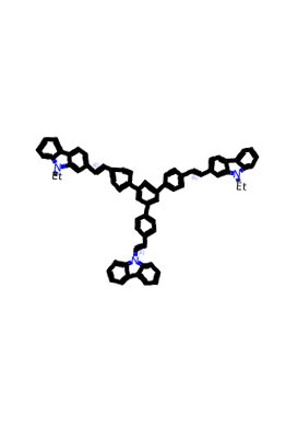 CCn1c2ccccc2c2ccc(/C=C/c3ccc(-c4cc(-c5ccc(/C=C/c6ccc7c8ccccc8n(CC)c7c6)cc5)cc(-c5ccc(/C=C/n6c7ccccc7c7ccccc76)cc5)c4)cc3)cc21